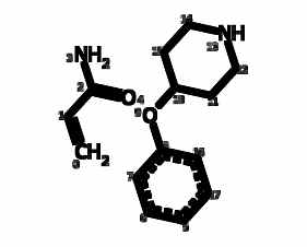 C=CC(N)=O.c1ccc(OC2CCNCC2)cc1